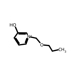 CCCOC[n+]1cccc(O)c1